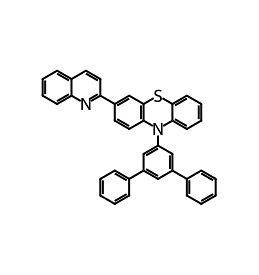 c1ccc(-c2cc(-c3ccccc3)cc(N3c4ccccc4Sc4cc(-c5ccc6ccccc6n5)ccc43)c2)cc1